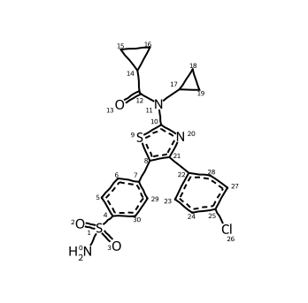 NS(=O)(=O)c1ccc(-c2sc(N(C(=O)C3CC3)C3CC3)nc2-c2ccc(Cl)cc2)cc1